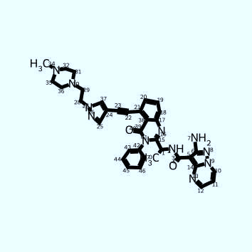 CC(NC(=O)c1c(N)nn2cccnc12)c1nc2cccc(C#Cc3cnn(CCN4CCN(C)CC4)c3)c2c(=O)n1-c1ccccc1